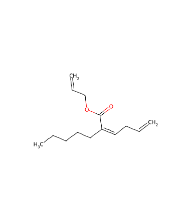 C=CCC=C(CCCCC)C(=O)OCC=C